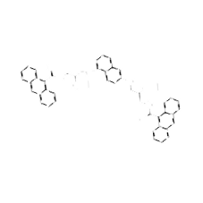 O=C(OCC(O)COc1ccc2c(OCC(O)COC(=O)c3c4ccccc4cc4ccccc34)cccc2c1)c1c2ccccc2cc2ccccc12